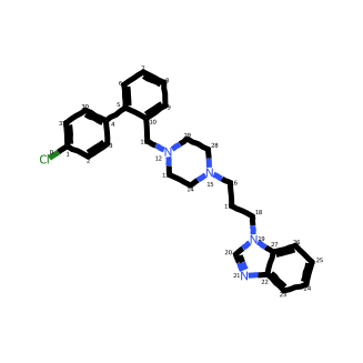 Clc1ccc(-c2ccccc2CN2CCN(CCCn3cnc4ccccc43)CC2)cc1